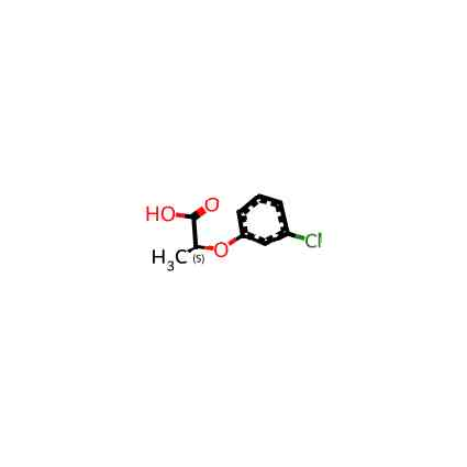 C[C@H](Oc1cccc(Cl)c1)C(=O)O